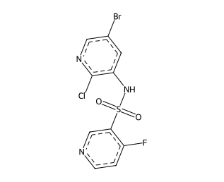 O=S(=O)(Nc1cc(Br)cnc1Cl)c1cnccc1F